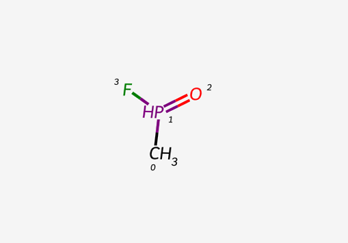 C[PH](=O)F